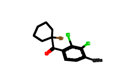 COc1ccc(C(=O)C2(Br)CCCCC2)c(Cl)c1Cl